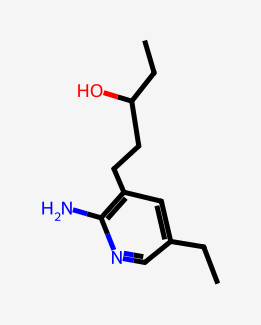 CCc1cnc(N)c(CCC(O)CC)c1